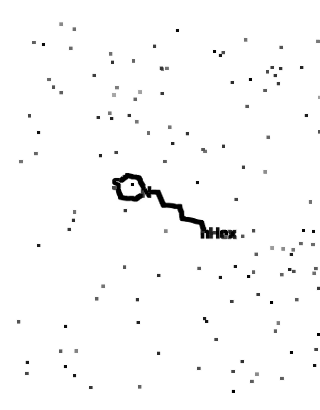 CCCCCCCCCCCN1CCSCC1